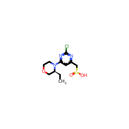 CC[C@H]1COCCN1c1cc(CS(=O)O)nc(Cl)n1